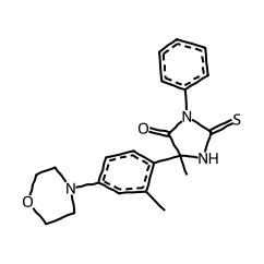 Cc1cc(N2CCOCC2)ccc1C1(C)NC(=S)N(c2ccccc2)C1=O